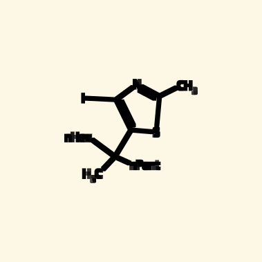 CCCCCCC(C)(CCCCC)c1sc(C)nc1I